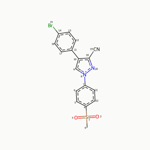 CS(=O)(=O)c1ccc(-n2cc(-c3ccc(Br)cc3)c(C#N)n2)cc1